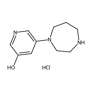 Cl.Oc1cncc(N2CCCNCC2)c1